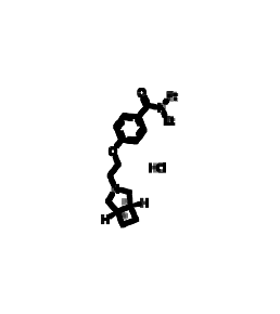 CCN(CC)C(=O)c1ccc(OCCN2C[C@H]3CC[C@H]3C2)cc1.Cl